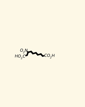 O=C(O)CCCCCCC(CC(=O)O)[N+](=O)[O-]